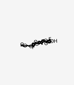 CC1c2cc(OC(=O)c3ccc(O)c(F)c3)ccc2-c2ccc(OC(=O)c3ccc(OCCCCOCC4CO4)c(F)c3)cc21